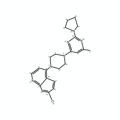 Cc1cc(N2CCN(c3ccnc4cc(Cl)ccc34)CC2)nc(N2CCCC2)n1